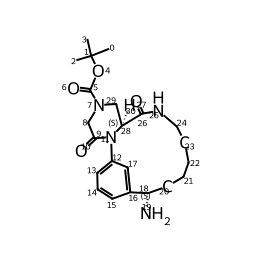 CC(C)(C)OC(=O)N1CC(=O)N2c3cccc(c3)[C@@H](N)CCCCCNC(=O)[C@@H]2C1